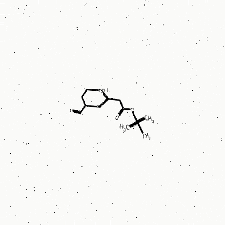 CC(C)(C)OC(=O)CC1CC(C=O)CCN1